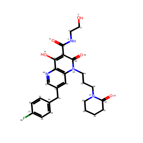 O=C(NCCO)c1c(O)c2ncc(Cc3ccc(F)cc3)cc2n(CCCN2CCCCC2=O)c1=O